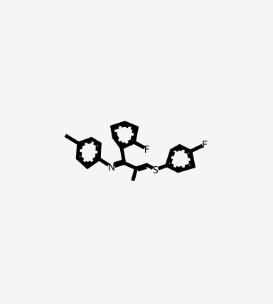 CC(=C\Sc1ccc(F)cc1)/C(=N/c1ccc(C)cc1)c1ccccc1F